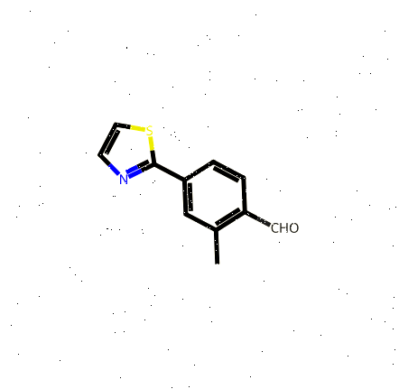 Cc1cc(-c2nccs2)ccc1C=O